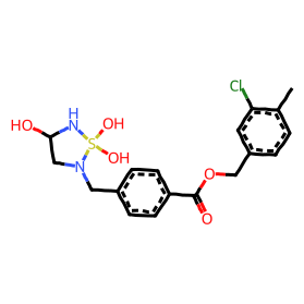 Cc1ccc(COC(=O)c2ccc(CN3CC(O)NS3(O)O)cc2)cc1Cl